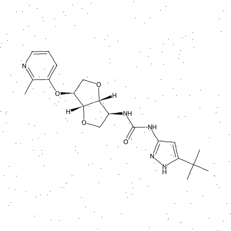 Cc1ncccc1O[C@H]1CO[C@H]2[C@@H]1OC[C@@H]2NC(=O)Nc1cc(C(C)(C)C)[nH]n1